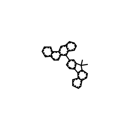 CC1(C)c2cc(-c3c4ccccc4cc4c3ccc3ccccc34)ccc2-c2c1ccc1ccccc21